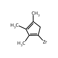 CC1=C(C)C(C)=[C]([Zr])C1